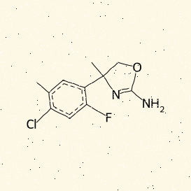 Cc1cc(C2(C)COC(N)=N2)c(F)cc1Cl